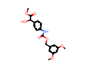 COC(=O)C(O)c1ccc(NC(=O)OCc2cc(OC)cc(OC)c2)cc1